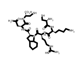 N=C(N)NCCC[C@H](NC(=O)[C@H](CCCCN)NC(=O)[C@@H](N)CS)C(=O)N1C2CCCCC2C[C@H]1C(=O)N[C@@H](CC(N)=O)C(=O)N[C@@H](CS)C(=O)O